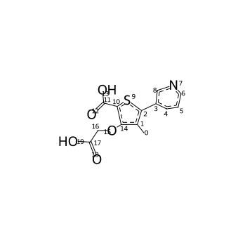 Cc1c(-c2cccnc2)sc(C(=O)O)c1OCC(=O)O